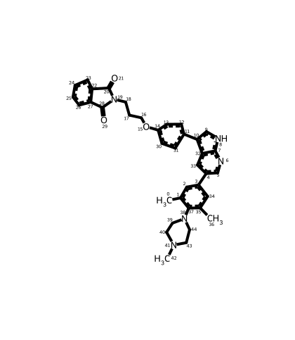 Cc1cc(-c2cnc3[nH]cc(-c4ccc(OCCCN5C(=O)c6ccccc6C5=O)cc4)c3c2)cc(C)c1N1CCN(C)CC1